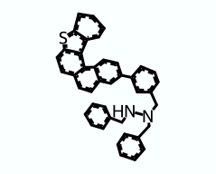 c1ccc(CNN(Cc2ccccc2)Cc2cccc(-c3ccc4c(ccc5ccc6sc7ccccc7c6c54)c3)c2)cc1